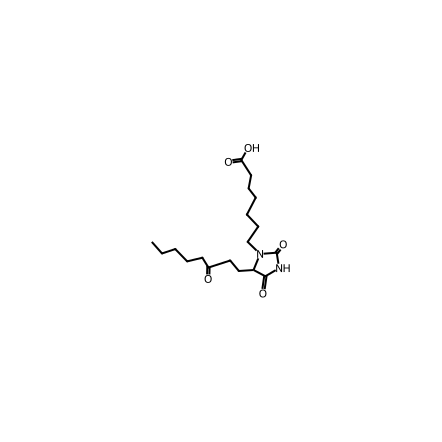 CCCCCC(=O)CCC1C(=O)NC(=O)N1CCCCCCC(=O)O